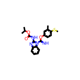 CSc1ccc(OC(=N)n2c(NC(=O)OC(C)C)nc3ccccc32)cc1C